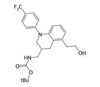 CC(C)(C)OC(=O)NCC1Cc2c(CCO)cccc2N(c2ccc(C(F)(F)F)cc2)C1